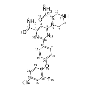 NC(=O)c1cc(N2CCNC[C@H]2C(N)=O)nc(-c2ccc(Oc3ccc(Cl)cc3F)cc2)n1